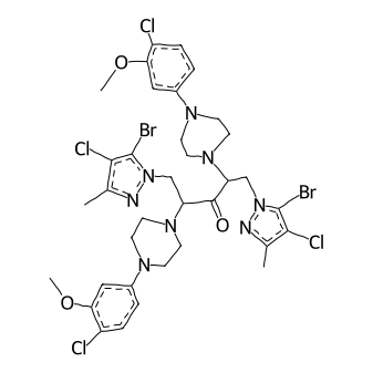 COc1cc(N2CCN(C(Cn3nc(C)c(Cl)c3Br)C(=O)C(Cn3nc(C)c(Cl)c3Br)N3CCN(c4ccc(Cl)c(OC)c4)CC3)CC2)ccc1Cl